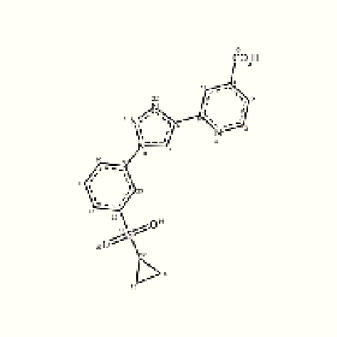 O=C(O)c1ccnc(-c2cn(-c3cccc(S(=O)(=O)C4CC4)c3)nn2)c1